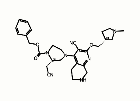 CN1CC[C@@H](COc2nc3c(c(N4CCN(C(=O)OCc5ccccc5)[C@@H](CC#N)C4)c2C#N)CCNC3)C1